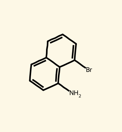 Nc1cccc2cccc(Br)c12